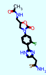 CC(=O)NCC1CN(c2ccc(-c3nc(CC(N)=S)c[nH]3)c(F)c2)C(=O)O1